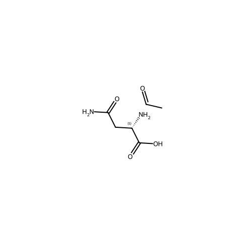 CC=O.NC(=O)C[C@H](N)C(=O)O